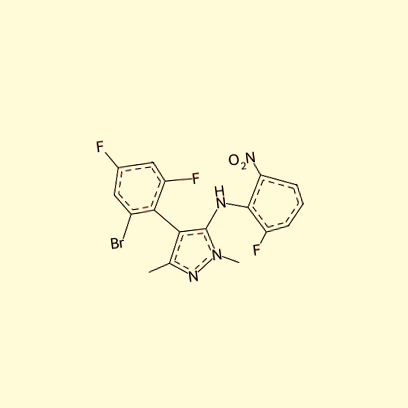 Cc1nn(C)c(Nc2c(F)cccc2[N+](=O)[O-])c1-c1c(F)cc(F)cc1Br